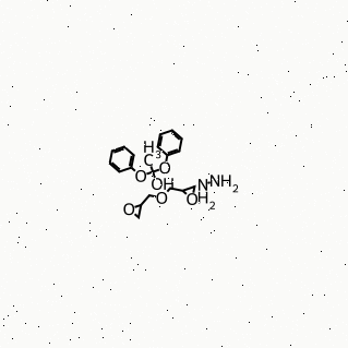 C(OCC1CO1)C1CO1.CC(O)(Oc1ccccc1)Oc1ccccc1.NN